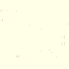 CCOC(=O)C[C@H](c1c(OCOCC[Si](C)(C)C)ccc(Cl)c1Cl)[C@H](C)[N+](=O)[O-]